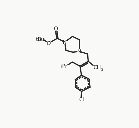 CC(CN1CCN(C(=O)OC(C)(C)C)CC1)=C(CC(C)C)c1ccc(Cl)cc1